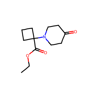 CCOC(=O)C1(N2CCC(=O)CC2)CCC1